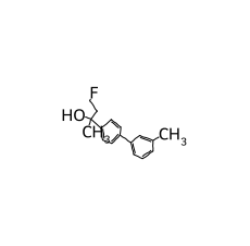 Cc1cccc(-c2ccc(C(C)(O)CCF)cc2)c1